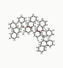 Cc1cc(-c2ccc(N(c3ccccc3-c3cccc4ccccc34)c3cc4ccccc4c4ccccc34)c(C)c2)ccc1N(c1ccccc1-c1cccc2ccccc12)c1cc2ccccc2c2ccccc12